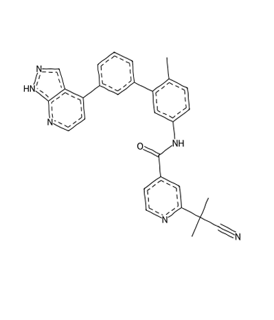 Cc1ccc(NC(=O)c2ccnc(C(C)(C)C#N)c2)cc1-c1cccc(-c2ccnc3[nH]ncc23)c1